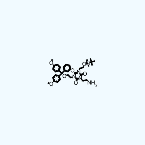 COc1ccc(C(OCCn2c(=O)n(CCN)c(=O)n(CCO[Si](C)(C)C(C)(C)C)c2=O)(c2ccccc2)c2ccc(OC)cc2)cc1